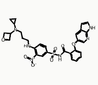 O=C(NS(=O)(=O)c1ccc(NCCCN(C2CC2)C2COC2)c([N+](=O)[O-])c1)c1ccccc1Oc1cnc2[nH]ccc2c1